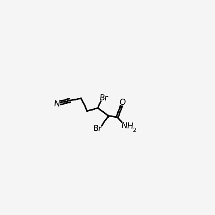 N#CCCC(Br)C(Br)C(N)=O